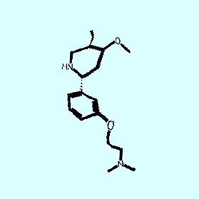 COC1C[C@H](c2cccc(OCCN(C)C)c2)NC[C@H]1C